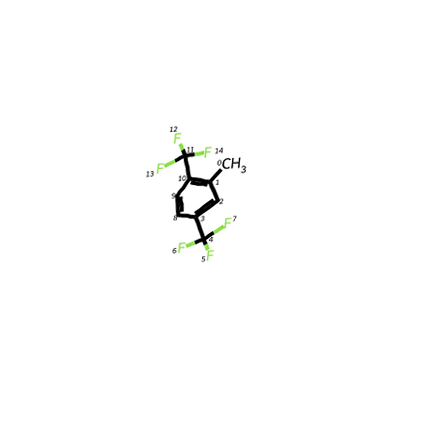 Cc1cc(C(F)(F)F)ccc1C(F)(F)F